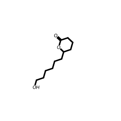 O=C1CCCC(CCCCCCO)O1